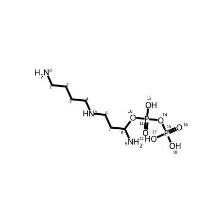 NCCCCNCCC(N)OP(=O)(O)OP(=O)(O)O